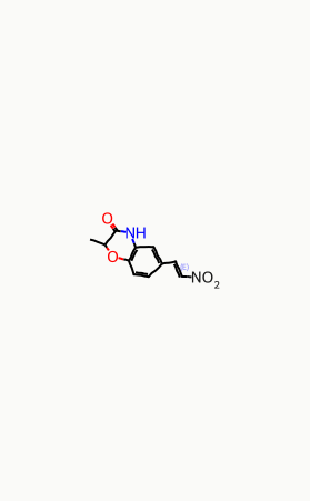 CC1Oc2ccc(/C=C/[N+](=O)[O-])cc2NC1=O